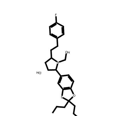 CCCC1(CCC)Oc2ccc(C3CCC(CCc4ccc(F)cc4)N3CO)cc2S1.Cl